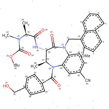 COc1ccc2ccccc2c1CN1C(=O)[C@@H](NC(=O)[C@H](C)N(C)C(=O)OC(C)(C)C)[C@H](C)N(C(=O)c2ccc(CO)cc2)c2cc(C#N)ccc21